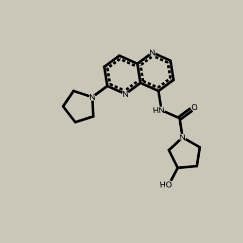 O=C(Nc1ccnc2ccc(N3CCCC3)nc12)N1CCC(O)C1